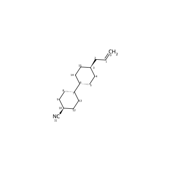 C=CC[C@H]1CC[C@H]([C@H]2CC[C@H](C#N)CC2)CC1